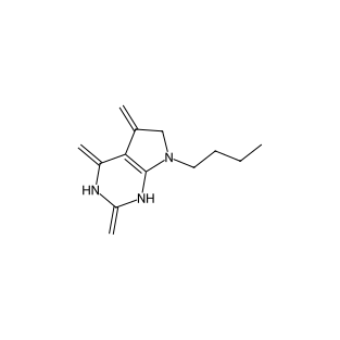 C=C1NC(=C)C2=C(N1)N(CCCC)CC2=C